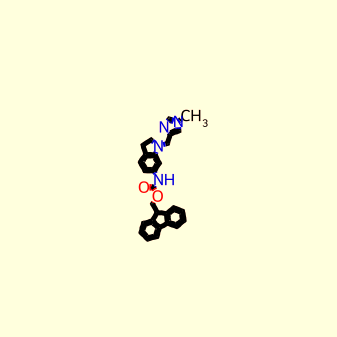 Cn1cnc(CN2CCc3ccc(NC(=O)OCC4c5ccccc5-c5ccccc54)cc32)c1